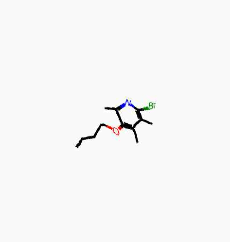 CCCCOc1c(C)nc(Br)c(C)c1C